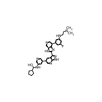 CN(C)CCNc1cc(F)cc(-c2cncc3[nH]c(-c4n[nH]c5ncc(-c6cncc(NC(O)C7CCCC7)c6)cc45)nc23)c1